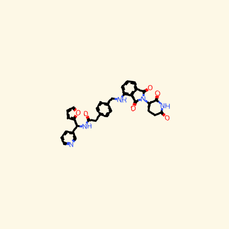 O=C1CCC(N2C(=O)c3cccc(NCc4ccc(CC(=O)NC(c5cccnc5)c5ccco5)cc4)c3C2=O)C(=O)N1